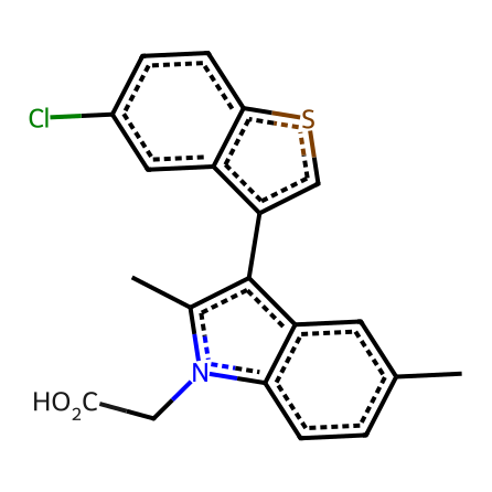 Cc1ccc2c(c1)c(-c1csc3ccc(Cl)cc13)c(C)n2CC(=O)O